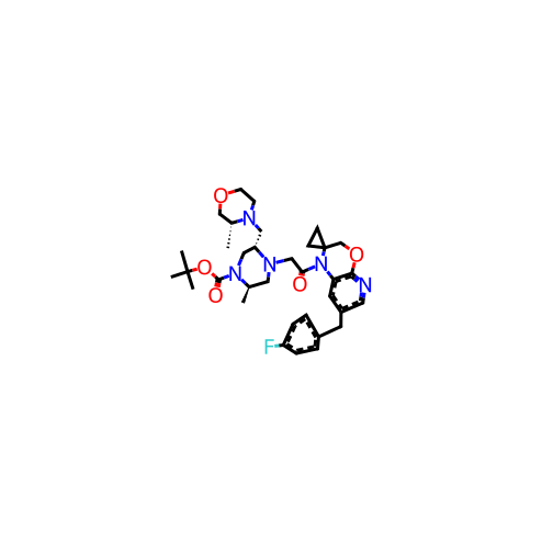 C[C@@H]1COCCN1C[C@H]1CN(C(=O)OC(C)(C)C)[C@H](C)CN1CC(=O)N1c2cc(Cc3ccc(F)cc3)cnc2OCC12CC2